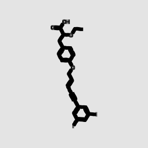 CCOC(Cc1ccc(OCC=CC#Cc2cc(I)cc(I)c2)cc1)C(=O)O